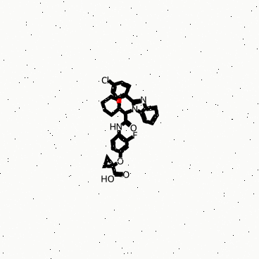 O=C(Nc1ccc(OC2(C(=O)O)CC2)cc1F)C(C1CCCCC1)n1c(-c2ccc(Cl)cc2)nc2ccccc21